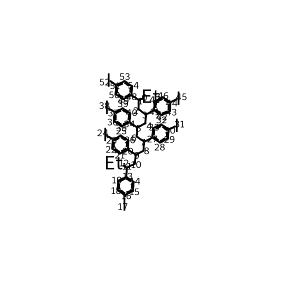 CCC(CC(CC(CC(CC(CC(CC)c1ccc(I)cc1)c1ccc(I)cc1)c1ccc(I)cc1)c1ccc(I)cc1)c1ccc(I)cc1)c1ccc(I)cc1